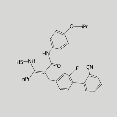 CCC/C(NS)=C(\Cc1ccc(-c2ccccc2C#N)c(F)c1)C(=O)Nc1ccc(OC(C)C)cc1